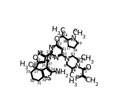 C=C(F)C(=O)N1[C@@H](C)CN(c2cc(O[C@@H](C)[C@@H]3CCCN3C)nc(-c3cc([C@@]4(C)CCCc5sc(N)c(C#N)c54)on3)n2)C[C@@H]1C